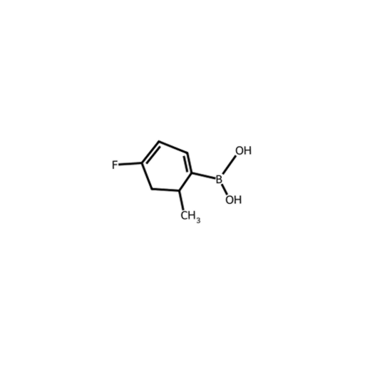 CC1CC(F)=CC=C1B(O)O